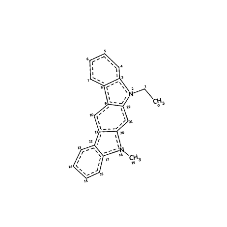 CCn1c2ccccc2c2cc3c4ccccc4n(C)c3cc21